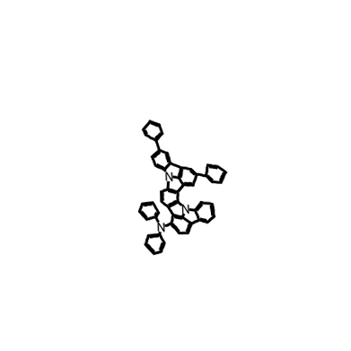 c1ccc(-c2ccc3c(c2)c2cc(-c4ccccc4)cc4c5c(ccc6c7c(N(c8ccccc8)c8ccccc8)ccc8c9ccccc9n(c87)c65)n3c24)cc1